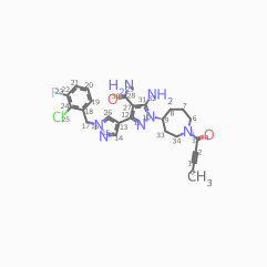 CC#CC(=O)N1CCC[C@H](n2nc(-c3cnn(Cc4cccc(F)c4Cl)c3)c(C(N)=O)c2N)CC1